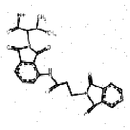 CC(C)C(C([NH])=O)N1C(=O)c2cccc(NC(=O)CCN3C(=O)c4ccccc4C3=O)c2C1=O